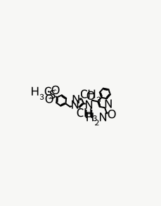 Cc1nn(Cc2ccc(S(C)(=O)=O)cc2)c(C)c1NC(=O)c1cc(C(N)=O)nc2ccccc12